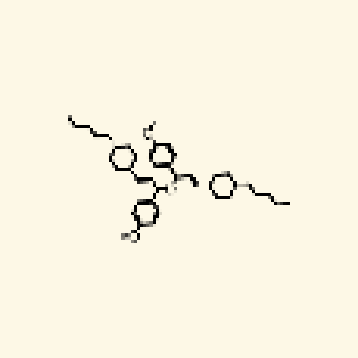 CCCCC[C@H]1CC[C@H](/C=C/C(OC(/C=C/[C@H]2CC[C@H](CCCCC)CC2)c2ccc(OC)cc2)c2ccc(OC)cc2)CC1